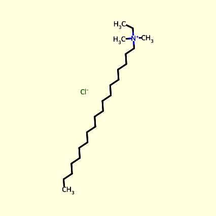 CCCCCCCCCCCCCCCCCCC[N+](C)(C)CC.[Cl-]